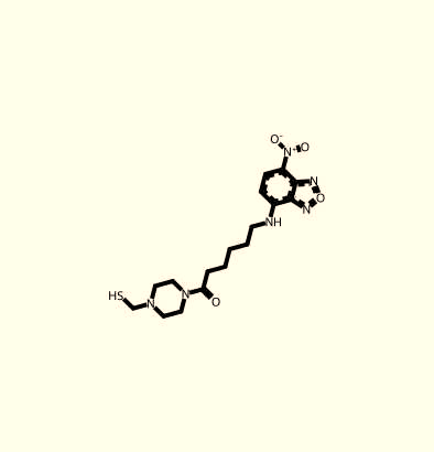 O=C(CCCCCNc1ccc([N+](=O)[O-])c2nonc12)N1CCN(CS)CC1